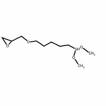 CO[SiH](CCCCCOCC1CO1)OC